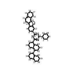 c1ccc(-c2nc(-c3ccc4c(c3)oc3c5ccccc5ccc43)nc(-c3cccc4c(-c5cccc6ccccc56)cccc34)n2)cc1